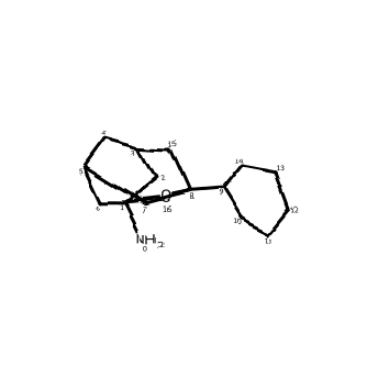 NC12CC3CC(C1)CC(C1CCCCC1)(C3)O2